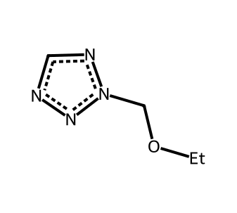 [CH2]COCn1ncnn1